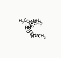 Cc1ccc(-n2nc(C(C)(C)C)cc2NC(=O)NCc2ccccc2Oc2ccnc(N3CCN(C)CC3)n2)cc1